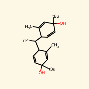 CCCC(C1C=CC(O)(C(C)(C)C)C=C1C)C1C=CC(O)(C(C)(C)C)C=C1C